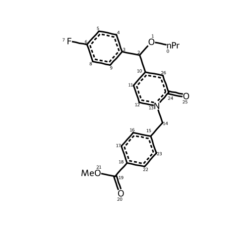 CCCOC(c1ccc(F)cc1)c1ccn(Cc2ccc(C(=O)OC)cc2)c(=O)c1